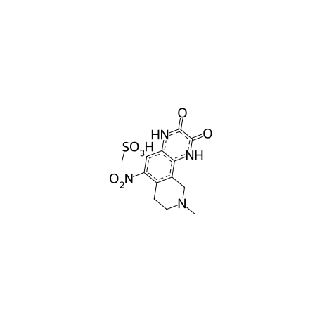 CN1CCc2c([N+](=O)[O-])cc3[nH]c(=O)c(=O)[nH]c3c2C1.CS(=O)(=O)O